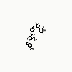 CC(C)Nc1cc(-n2ccc3cc(C#N)cnc32)ncc1C(=O)NC1CCN(Cc2cc(C3CCC(=O)NC3=O)cnc2F)CC1